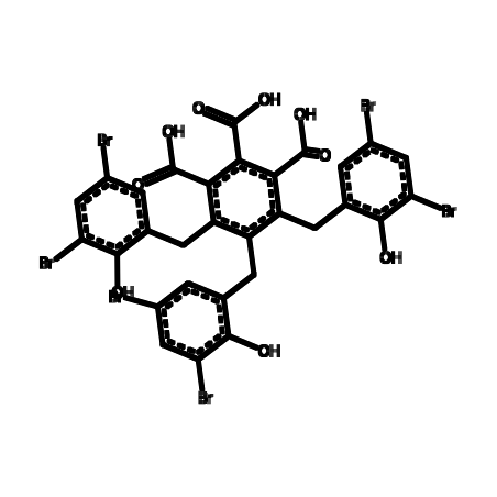 O=C(O)c1c(Cc2cc(Br)cc(Br)c2O)c(Cc2cc(Br)cc(Br)c2O)c(Cc2cc(Br)cc(Br)c2O)c(C(=O)O)c1C(=O)O